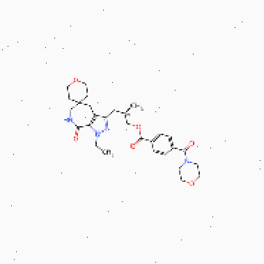 CCn1nc(C[C@@H](C)COC(=O)c2ccc(C(=O)N3CCOCC3)cc2)c2c1C(=O)NCC1(CCOCC1)C2